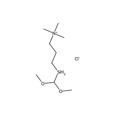 COC(OC)[SiH2]CCC[N+](C)(C)C.[Cl-]